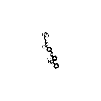 [N-]=[N+]=NC(c1ccccc1)c1cccc(OCc2ccc(C(=O)OCCCC3OCCO3)cc2)c1